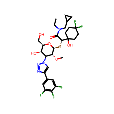 CCN(CC1CC1)C(=O)[C@@H](S[C@@H]1O[C@H](CO)[C@H](O)[C@H](n2cc(-c3cc(F)c(F)c(F)c3)nn2)[C@H]1OC)C1(O)CCC(F)(F)CC1